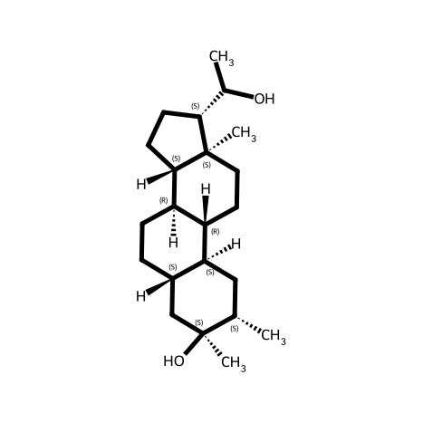 CC(O)[C@H]1CC[C@H]2[C@@H]3CC[C@H]4C[C@](C)(O)[C@@H](C)C[C@@H]4[C@H]3CC[C@]12C